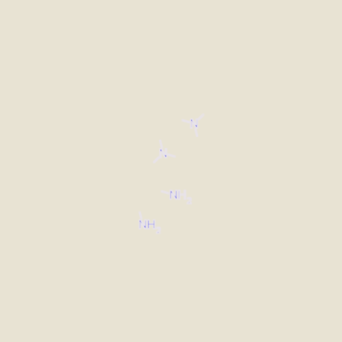 CCN1CCN(c2cccc(N)c2N)CC1